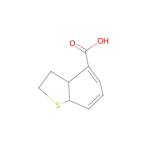 O=C(O)C1=CC=CC2SCCC12